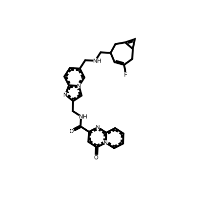 O=C(NCc1cn2cc(CNCC3C=C(F)CC4C=C4C3)ccc2n1)c1cc(=O)n2ccccc2n1